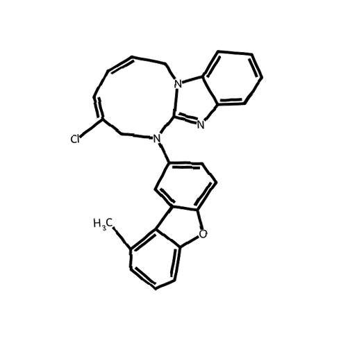 Cc1cccc2oc3ccc(N4C/C(Cl)=C\C=C/Cn5c4nc4ccccc45)cc3c12